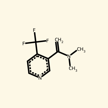 C=C(c1cnccc1C(F)(F)F)N(C)C